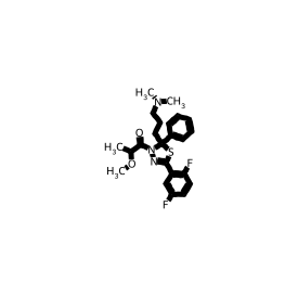 COC(C)C(=O)N1N=C(c2cc(F)ccc2F)SC1(CCCN(C)C)c1ccccc1